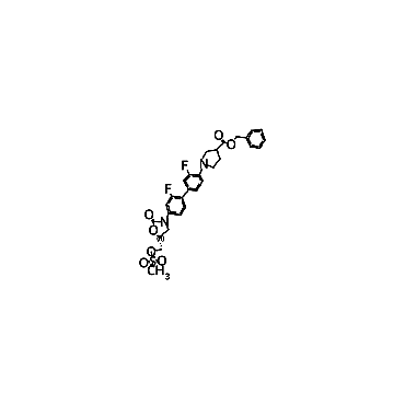 CS(=O)(=O)OC[C@H]1CN(c2ccc(-c3ccc(N4CCC(C(=O)OCc5ccccc5)CC4)c(F)c3)c(F)c2)C(=O)O1